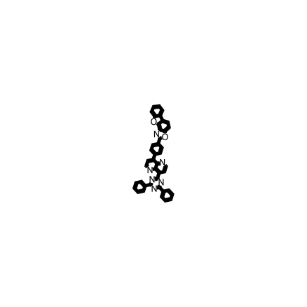 c1ccc(-c2nc(-c3ccccc3)nc(-c3ccnc4c(-c5ccc(-c6nc7c(ccc8c9ccccc9oc87)o6)cc5)ccnc34)n2)cc1